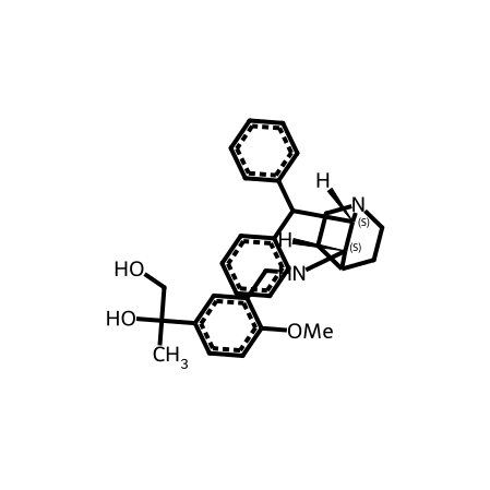 COc1ccc(C(C)(O)CO)cc1CN[C@H]1C2CCN(CC2)[C@H]1C(c1ccccc1)c1ccccc1